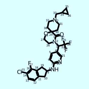 O=C1N(C(c2ccc(NC3Cc4ccc(Cl)c(F)c4C3)nc2)C(F)(F)F)CCOC12CCN(CC1CC1)CC2